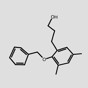 Cc1cc(C)c(OCc2ccccc2)c(CCCO)c1